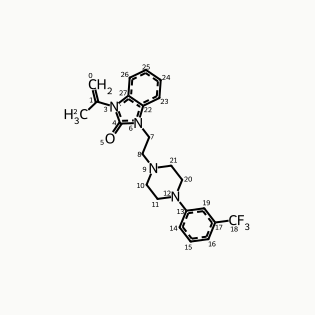 C=C(C)n1c(=O)n(CCN2CCN(c3cccc(C(F)(F)F)c3)CC2)c2ccccc21